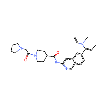 C=CN(C)/C(=C\C)c1ccc2cnc(NC(=O)C3CCN(C(=O)CN4CCCC4)CC3)cc2c1